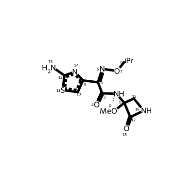 COC1(NC(=O)C(=NOC(C)C)c2csc(N)n2)CNC1=O